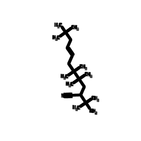 CC(C)(C)CC=CCC(C)(C)C(C)(C)CC(C#N)C(C)(C)N